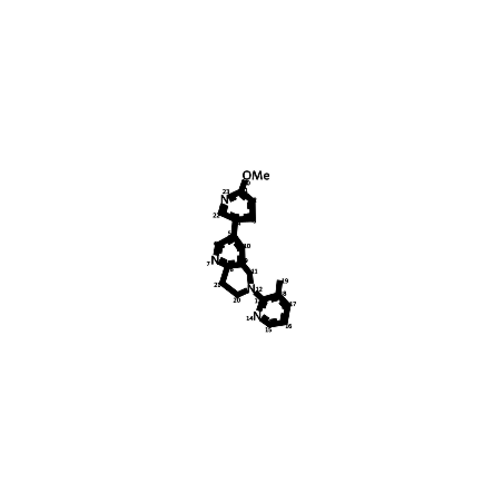 COc1ccc(-c2cnc3c(c2)CN(c2ncccc2C)CC3)cn1